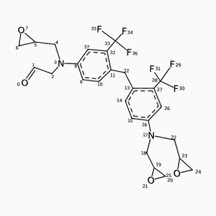 O=CCN(CC1CO1)c1ccc(Cc2ccc(N(CC3CO3)CC3CO3)cc2C(F)(F)F)c(C(F)(F)F)c1